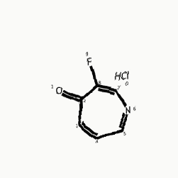 Cl.O=c1cccncc1F